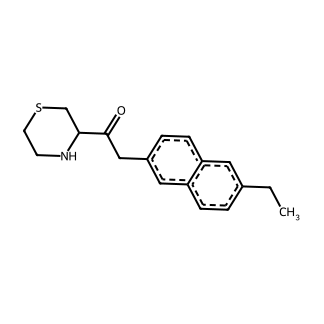 CCc1ccc2cc(CC(=O)C3CSCCN3)ccc2c1